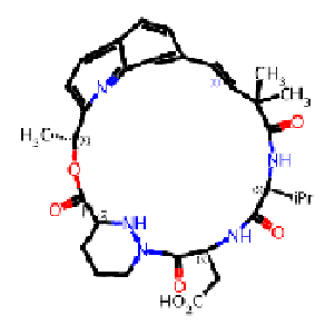 CC(C)[C@@H]1NC(=O)C(C)(C)/C=C/c2ccc3ccc(nc3c2)[C@@H](C)OC(=O)[C@@H]2CCCN(N2)C(=O)[C@H](CC(=O)O)NC1=O